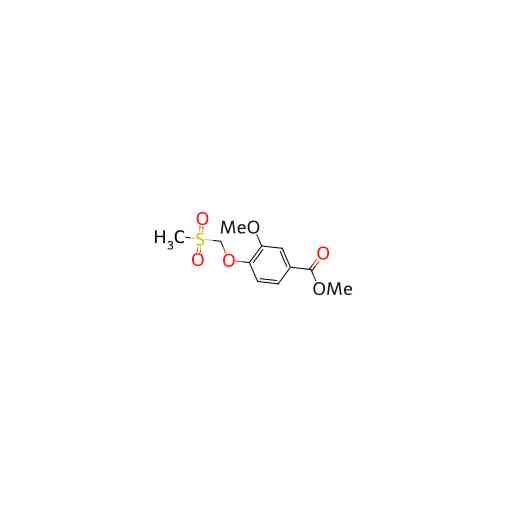 COC(=O)c1ccc(OCS(C)(=O)=O)c(OC)c1